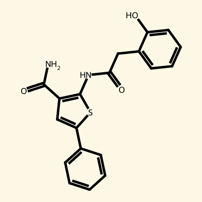 NC(=O)c1cc(-c2ccccc2)sc1NC(=O)Cc1ccccc1O